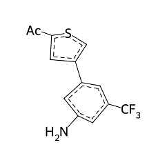 CC(=O)c1cc(-c2cc(N)cc(C(F)(F)F)c2)cs1